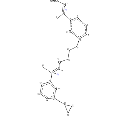 CO/N=C(\C)c1cccc(CCCO/N=C(\C)c2cccc(C3CC3)n2)n1